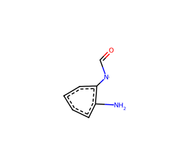 Nc1ccccc1[N]C=O